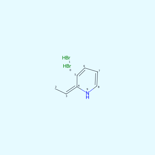 Br.Br.CC=C1C=CC=CN1